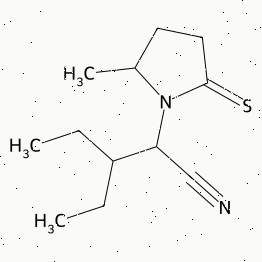 CCC(CC)C(C#N)N1C(=S)CCC1C